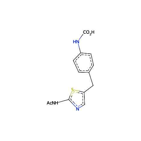 CC(=O)Nc1ncc(Cc2ccc(NC(=O)O)cc2)s1